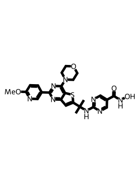 COc1ccc(-c2nc(N3CCOCC3)c3sc(C(C)(C)Nc4ncc(C(=O)NO)cn4)cc3n2)cn1